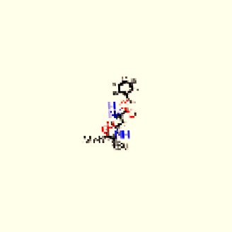 CNC(=O)[C@@H](NC(=O)C[C@@H](N)C(=O)OCc1ccccc1)C(C)(C)C